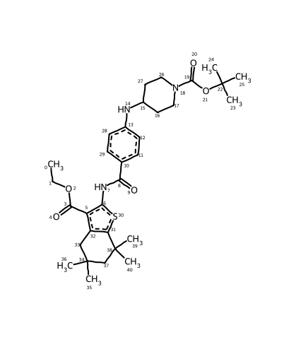 CCOC(=O)c1c(NC(=O)c2ccc(NC3CCN(C(=O)OC(C)(C)C)CC3)cc2)sc2c1CC(C)(C)CC2(C)C